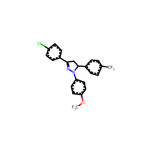 FC(F)(F)Oc1ccc(N2N=C(c3ccc(Cl)cc3)CC2c2ccc(C(F)(F)F)cc2)cc1